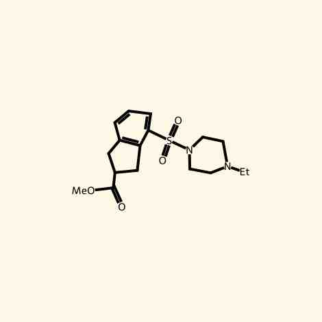 CCN1CCN(S(=O)(=O)c2cccc3c2CC(C(=O)OC)C3)CC1